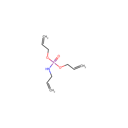 C=CCNP(=O)(OCC=C)OCC=C